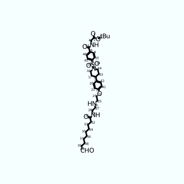 CC(C)(C)OC(=O)CNC(=O)c1ccc(S(=O)(=O)N2CCC(c3ccc(OCCNCCNC(=O)CCCCCCCCC=O)cc3)CC2)cc1